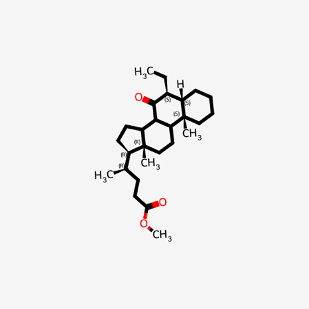 CC[C@@H]1C(=O)C2C3CC[C@H]([C@H](C)CCC(=O)OC)[C@@]3(C)CCC2[C@@]2(C)CCCC[C@@H]12